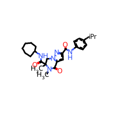 CC(C)c1ccc(NC(=O)c2cc3n(n2)CC(C)(C(=O)NC2CCCCCC2)N(C)C3=O)cc1